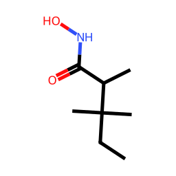 CCC(C)(C)C(C)C(=O)NO